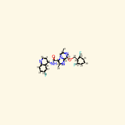 Cc1cn2c(C(=O)Nc3ccnc4ccc(F)cc34)c(C)nc2c(OCc2c(F)cccc2F)n1